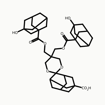 O=C(O)C12CC3CC(C1)C1(OCC(COC(=O)C45CC6CC(CC(O)(C6)C4)C5)(COC(=O)C45CC6CC(CC(O)(C6)C4)C5)CO1)C(C3)C2